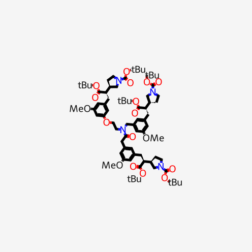 COc1cc(CC(=O)N(CCOc2cc(C[C@H](C(=O)OC(C)(C)C)[C@H]3CCN(C(=O)OC(C)(C)C)C3)cc(OC)c2)Cc2cc(C[C@H](C(=O)OC(C)(C)C)[C@H]3CCN(C(=O)OC(C)(C)C)C3)cc(OC)c2)cc(C[C@H](C(=O)OC(C)(C)C)[C@H]2CCN(C(=O)OC(C)(C)C)C2)c1